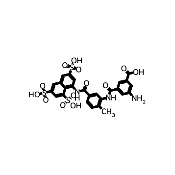 Cc1ccc(C(=O)Nc2cc(S(=O)(=O)O)cc3cc(S(=O)(=O)O)cc(S(=O)(=O)O)c23)cc1NC(=O)c1cc(N)cc(C(=O)O)c1